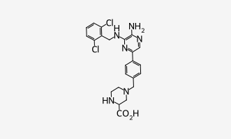 Nc1ncc(-c2ccc(CN3CCNC(C(=O)O)C3)cc2)nc1NCc1c(Cl)cccc1Cl